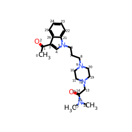 CC(=O)c1cn(CCCN2CCN(CC(=O)N(C)C)CC2)c2ccccc12